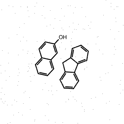 Oc1ccc2ccccc2c1.c1ccc2c(c1)Cc1ccccc1-2